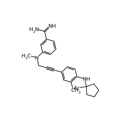 CC(=O)C1(Nc2ccc(C#CCN(C)c3cccc(C(=N)N)c3)cc2C)CCCC1